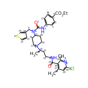 CCOC(=O)c1ccc(NC(=O)N(Cc2ccsc2)C2CCN([C@H](C)CCNC(=O)c3c(C)cc(Cl)nc3C)CC2)cc1